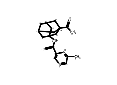 Cc1cncc(C(=O)NC23CC4CC(C2)CC(C(N)=O)(C4)C3)n1